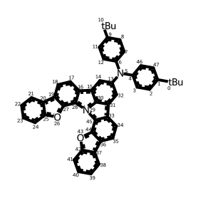 CC(C)(C)c1ccc(N(c2ccc(C(C)(C)C)cc2)c2cc3c4ccc5c6ccccc6oc5c4n4c3c(c2)c2ccc3c5ccccc5oc3c24)cc1